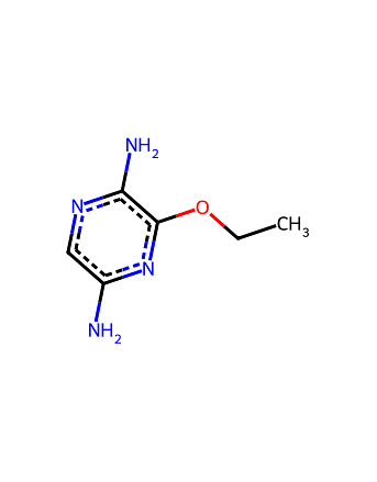 CCOc1nc(N)cnc1N